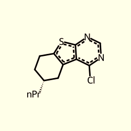 CCC[C@@H]1CCc2sc3ncnc(Cl)c3c2C1